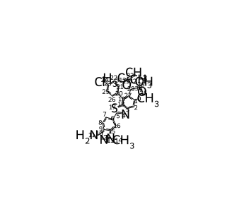 Cc1cc2nc(-c3ccc4c(N)nn(C)c4c3)sc2c(-c2ccc(Cl)cc2)c1C(OC(C)(C)C)C(=O)O